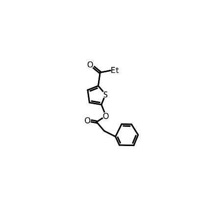 CCC(=O)c1ccc(OC(=O)Cc2ccccc2)s1